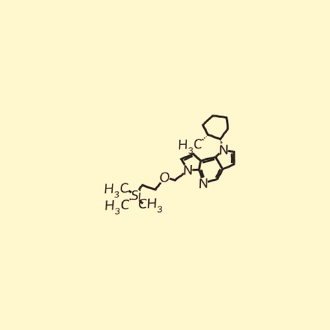 C[C@@H]1CCCC[C@@H]1n1ccc2cnc3c(ccn3COCC[Si](C)(C)C)c21